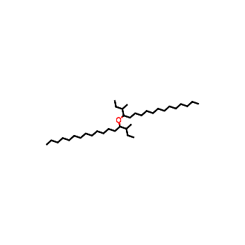 CCCCCCCCCCCCCC(OC(CCCCCCCCCCCCC)C(C)CC)C(C)CC